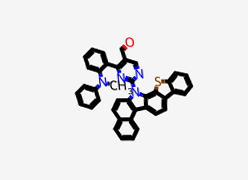 CN(c1ccccc1)c1ccccc1-c1nc(-n2c3ccc4ccccc4c3c3ccc4c5ccccc5sc4c32)ncc1C=O